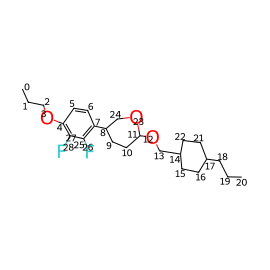 CCCOc1ccc(C2CCC(OCC3CCC(CCC)CC3)OC2)c(F)c1F